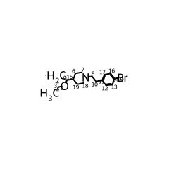 [CH2]C(OCC)C1CCN(CCc2ccc(Br)cc2)CC1